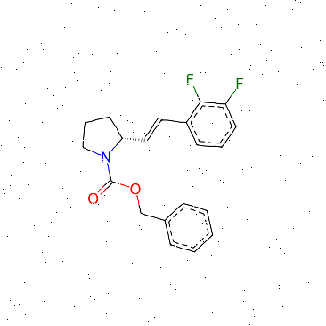 O=C(OCc1ccccc1)N1CCC[C@@H]1/C=C/c1cccc(F)c1F